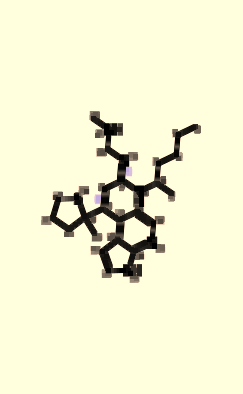 CCCCC(C)NC(/C=C(\c1ccnc2[nH]ccc12)C1(C)CCCS1)=N/CNC